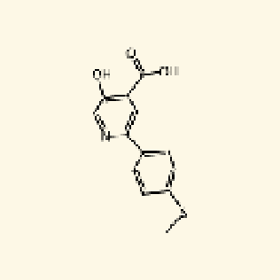 CSc1ccc(-c2cc(C(=O)O)c(O)cn2)cc1